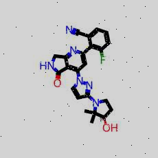 CC1(C)[C@H](O)CCN1c1ccn(-c2cc(-c3c(F)cccc3C#N)nc3c2C(=O)NC3)n1